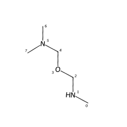 CNCOCN(C)C